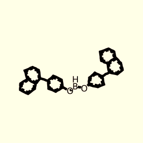 B(Oc1ccc(-c2cccc3ccccc23)cc1)Oc1ccc(-c2cccc3ccccc23)cc1